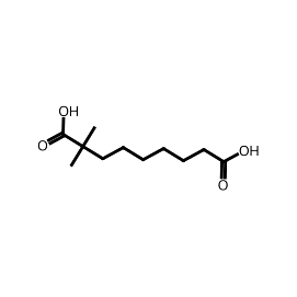 CC(C)(CCCCCCC(=O)O)C(=O)O